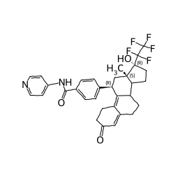 C[C@]12C[C@H](c3ccc(C(=O)Nc4ccncc4)cc3)C3=C4CCC(=O)C=C4CCC3C1CC[C@]2(O)C(F)(F)C(F)(F)F